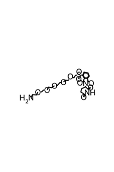 NCCOCCOCCOCCOCCOCCS(=O)(=O)c1cccc2c1C(=O)N(C1CCC(=O)NC1=O)C2=O